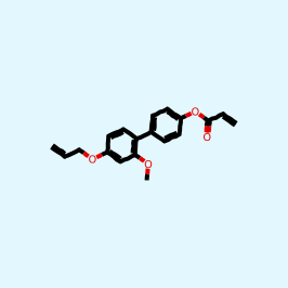 C=CCOc1ccc(-c2ccc(OC(=O)C=C)cc2)c(OC)c1